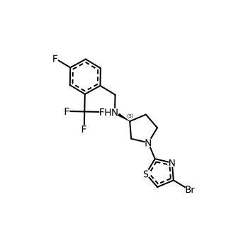 Fc1ccc(CN[C@H]2CCN(c3nc(Br)cs3)C2)c(C(F)(F)F)c1